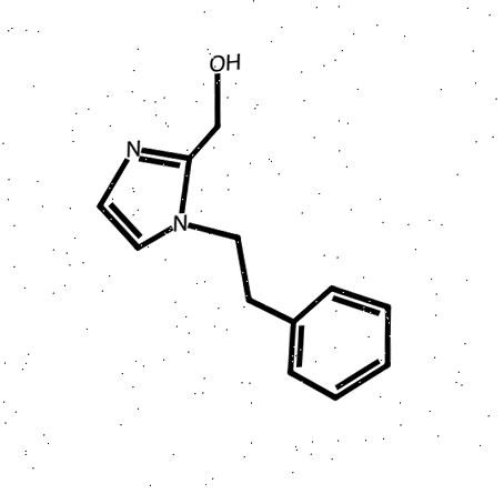 OCc1nccn1CCc1ccccc1